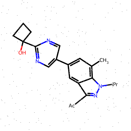 CC(=O)c1nn(C(C)C)c2c(C)cc(-c3cnc(C4(O)CCC4)nc3)cc12